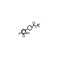 CC(C)(C)OC(=O)N1CCC(c2ccc(F)c(=O)[nH]2)CC1